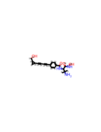 CC(C)(N)C(NC(=O)c1ccc(C#CC#CC2CC2CO)cc1)C(=O)NO